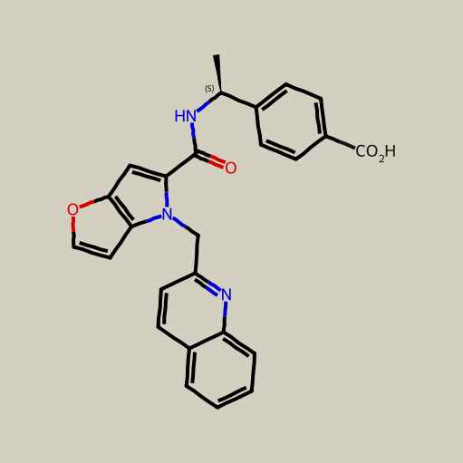 C[C@H](NC(=O)c1cc2occc2n1Cc1ccc2ccccc2n1)c1ccc(C(=O)O)cc1